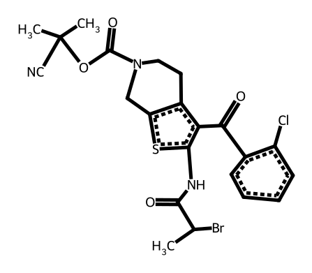 CC(Br)C(=O)Nc1sc2c(c1C(=O)c1ccccc1Cl)CCN(C(=O)OC(C)(C)C#N)C2